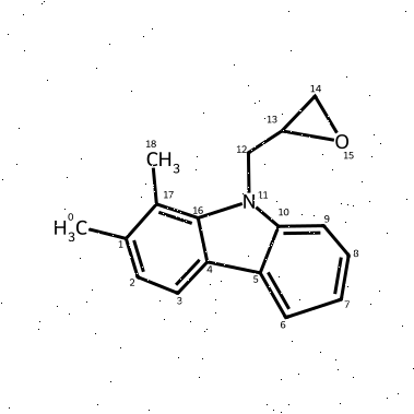 Cc1ccc2c3ccccc3n(CC3CO3)c2c1C